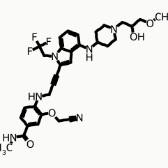 CNC(=O)c1ccc(NCC#Cc2cc3c(NC4CCN(CC(O)COC)CC4)cccc3n2CC(F)(F)F)c(OCC#N)c1